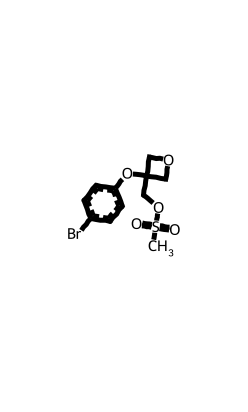 CS(=O)(=O)OCC1(Oc2ccc(Br)cc2)COC1